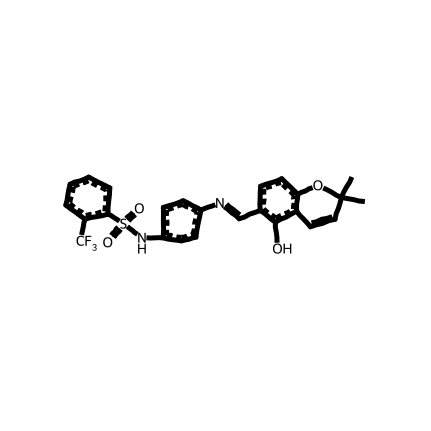 CC1(C)C=Cc2c(ccc(/C=N/c3ccc(NS(=O)(=O)c4ccccc4C(F)(F)F)cc3)c2O)O1